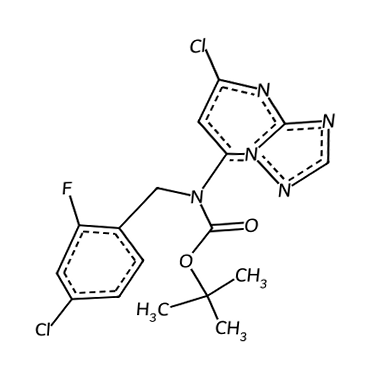 CC(C)(C)OC(=O)N(Cc1ccc(Cl)cc1F)c1cc(Cl)nc2ncnn12